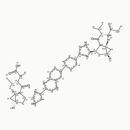 COC(=O)N[C@H](C(=O)N1[C@@H]2C[C@@H]2C[C@H]1c1nc(-c2ccc(-c3ccc4nc(-c5c[nH]c([C@@H]6C[C@H]7C[C@H]7N6C(=O)[C@H](C(C)C)N(C)C(=O)O)n5)cnc4c3)cc2)c[nH]1)C(C)C